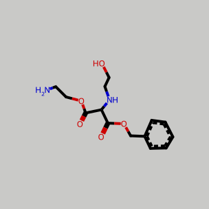 NCCOC(=O)C(NCCO)C(=O)OCc1ccccc1